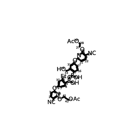 [C-]#[N+]c1ccc(Oc2ccc(B(O)OB(O)c3ccc(Oc4ccc([N+]#[C-])c(OCCOC(C)=O)n4)cc3CO)c(CC)c2)nc1OCCOC(C)=O